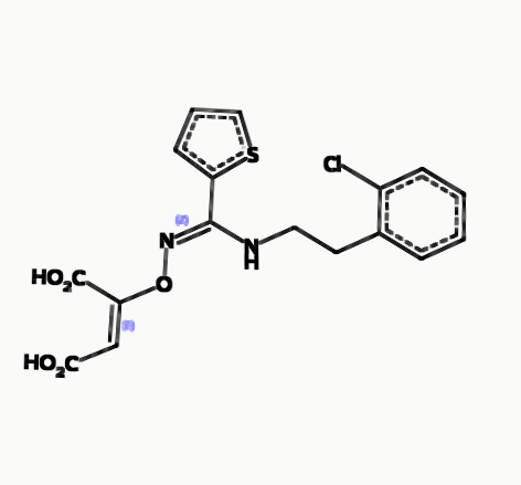 O=C(O)/C=C(/O/N=C(\NCCc1ccccc1Cl)c1cccs1)C(=O)O